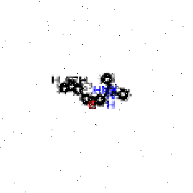 CC1(C)c2ccccc2-c2cc(-c3ccc4oc5ccc(C6NC(c7ccccc7)=NC(c7ccccc7)N6)cc5c4c3)ccc21